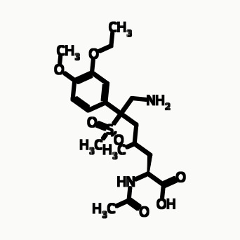 CCOc1cc(C(CN)(CC(C)C[C@H](NC(C)=O)C(=O)O)S(C)(=O)=O)ccc1OC